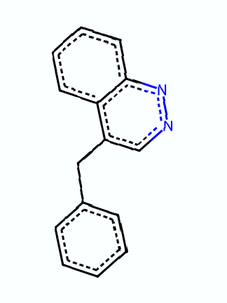 c1ccc(Cc2cnnc3ccccc23)cc1